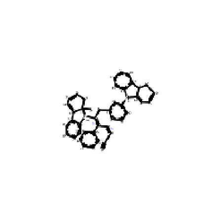 C#C/C=C\C(=C(/Cc1cccc(N2C3=CC=CCC3c3ccccc32)c1)N1c2ccccc2C2=CC=CCC21C)c1ccccc1